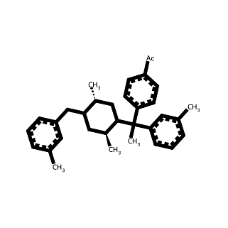 CC(=O)c1ccc(C(C)(c2cccc(C)c2)C2C[C@@H](C)C(Cc3cccc(C)c3)C[C@@H]2C)cc1